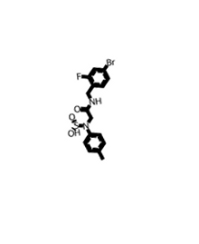 Cc1ccc(N(CC(=O)NCc2ccc(Br)cc2F)[SH](=O)=O)cc1